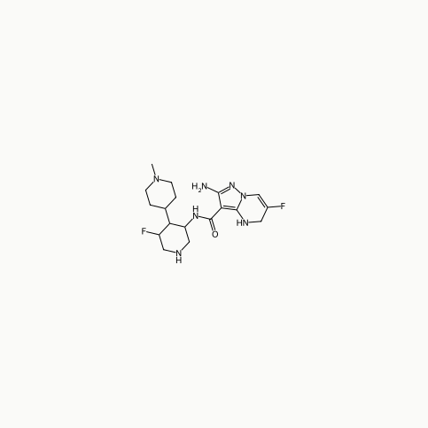 CN1CCC(C2C(F)CNCC2NC(=O)c2c(N)nn3c2NCC(F)=C3)CC1